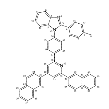 Cc1ccc(-c2nc3ccccc3n2-c2ccc(-c3cc(-c4ccc5ccccc5c4)cc(-c4ccc5ccccc5c4)n3)cc2)cc1